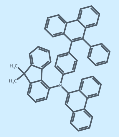 CC1(C)c2ccccc2-c2c(N(c3ccc(-c4c(-c5ccccc5)c5ccccc5c5ccccc45)cc3)c3cc4ccccc4c4ccccc34)cccc21